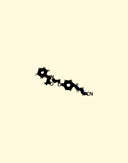 Cc1oc(COc2ccc(/C=C/C=C/C#N)cc2)nc1-c1ccccc1